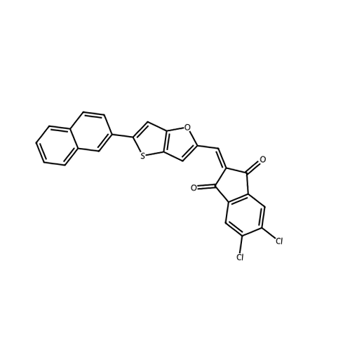 O=C1C(=Cc2cc3sc(-c4ccc5ccccc5c4)cc3o2)C(=O)c2cc(Cl)c(Cl)cc21